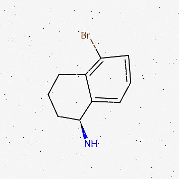 [NH][C@H]1CCCc2c(Br)cccc21